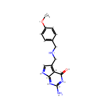 COc1ccc(CNCC2=C3C(=O)N=C(N)N=C3N=C2)cc1